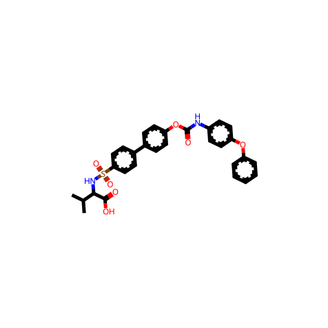 CC(C)C(NS(=O)(=O)c1ccc(-c2ccc(OC(=O)Nc3ccc(Oc4ccccc4)cc3)cc2)cc1)C(=O)O